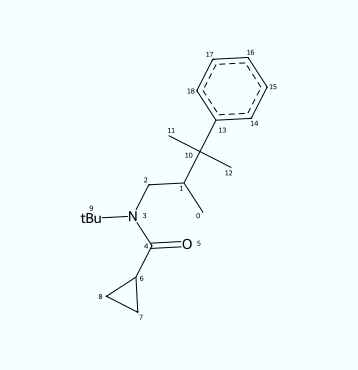 CC(CN(C(=O)C1CC1)C(C)(C)C)C(C)(C)c1ccccc1